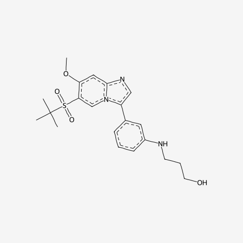 COc1cc2ncc(-c3cccc(NCCCO)c3)n2cc1S(=O)(=O)C(C)(C)C